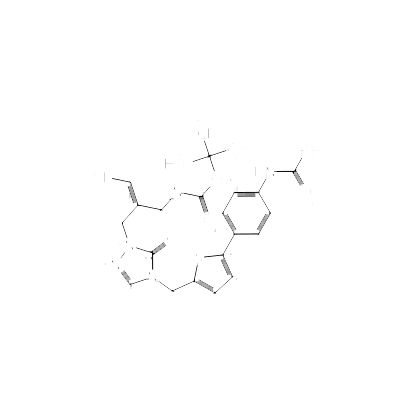 CC(=O)Nc1ccc(-c2ccc(Cn3cnn(C/C(=C\F)CNC(=O)OC(C)(C)C)c3=O)s2)cc1